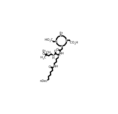 CCCCCCCCCCCCCCCC(=O)NCCCC[C@H](NC(=O)CN1CCN(CC(=O)O)CCN(CC)CCN(CC(=O)O)CC1)C(=O)NCCC(C)(C)OCC